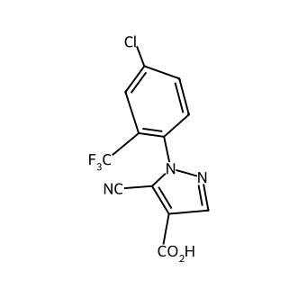 N#Cc1c(C(=O)O)cnn1-c1ccc(Cl)cc1C(F)(F)F